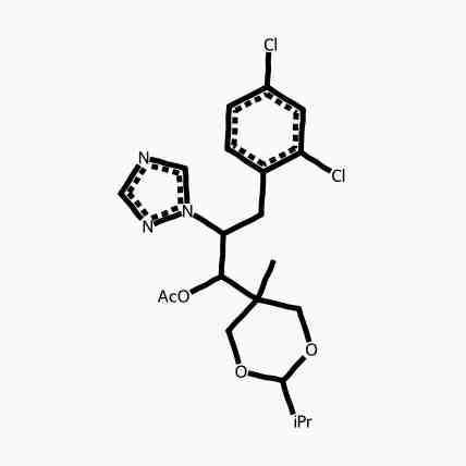 CC(=O)OC(C(Cc1ccc(Cl)cc1Cl)n1cncn1)C1(C)COC(C(C)C)OC1